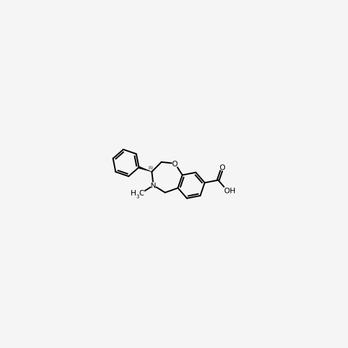 CN1Cc2ccc(C(=O)O)cc2OC[C@@H]1c1ccccc1